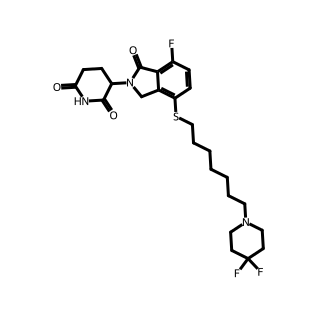 O=C1CCC(N2Cc3c(SCCCCCCCN4CCC(F)(F)CC4)ccc(F)c3C2=O)C(=O)N1